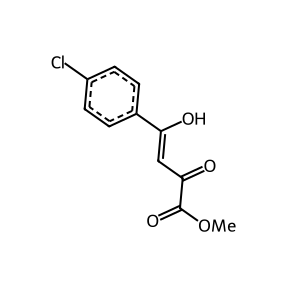 COC(=O)C(=O)C=C(O)c1ccc(Cl)cc1